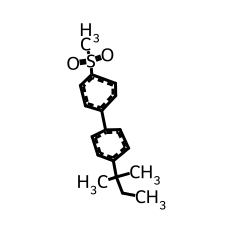 CCC(C)(C)c1ccc(-c2ccc(S(C)(=O)=O)cc2)cc1